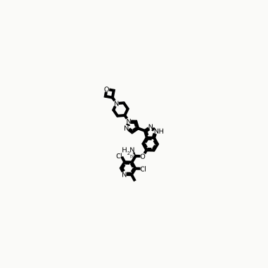 Cc1ncc(Cl)c([C@@H](N)Oc2ccc3[nH]nc(-c4cnn(C5CCN(C6COC6)CC5)c4)c3c2)c1Cl